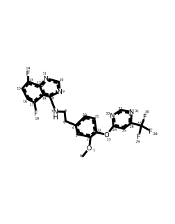 COc1cc(CCNc2ncnc3c(F)ccc(F)c23)ccc1Oc1cc(C(F)(F)F)ncn1